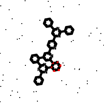 c1ccc(-c2cc(-c3ccc(-c4cc(-c5ccccc5-c5nc(-c6ccccc6)nc(-c6ccccc6)n5)cc(-c5ccccn5)n4)nc3)nc(-c3ccccc3)n2)cc1